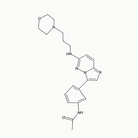 CC(=O)Nc1cccc(-c2cnc3ccc(NCCCN4CCOCC4)nn23)c1